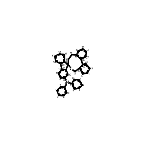 c1ccc(N(c2ccccc2)c2ccc3c(c2)C2(CCc4ccccc4-c4ccccc4CC2)c2ccccc2-3)cc1